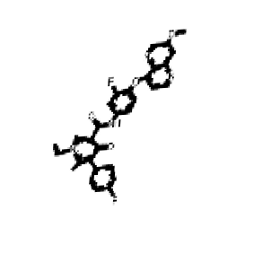 CCn1cc(C(=O)Nc2ccc(Oc3ccnc4cc(OC)cnc34)c(F)c2)c(=O)c(-c2ccc(F)cc2)c1C